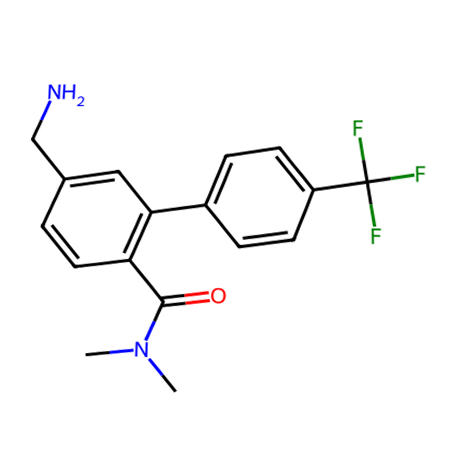 CN(C)C(=O)c1ccc(CN)cc1-c1ccc(C(F)(F)F)cc1